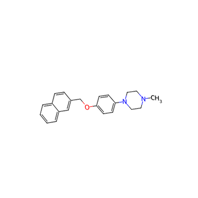 CN1CCN(c2ccc(OCc3ccc4ccccc4c3)cc2)CC1